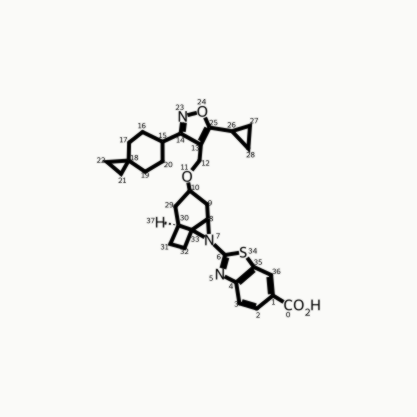 O=C(O)c1ccc2nc(N3C4CC(OCc5c(C6CCC7(CC6)CC7)noc5C5CC5)C[C@@H]5CCC453)sc2c1